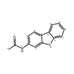 CC(=O)Nc1ccc2c(c1)sc1ccccc12